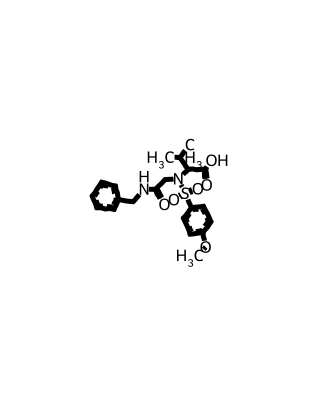 COc1ccc(S(=O)(=O)N(CC(=O)NCc2ccccc2)C(C(=O)O)C(C)C)cc1